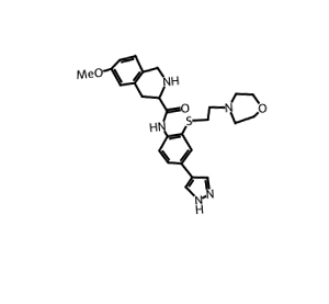 COc1ccc2c(c1)CC(C(=O)Nc1ccc(-c3cn[nH]c3)cc1SCCN1CCOCC1)NC2